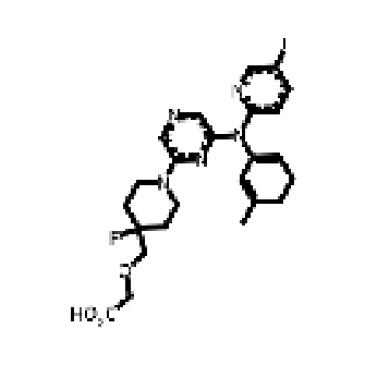 CC1=CC(N(c2ccc(F)cn2)c2cncc(N3CCC(F)(COCC(=O)O)CC3)n2)=CCC1